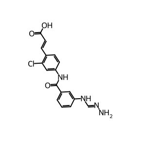 NN=CNc1cccc(C(=O)Nc2ccc(C=CC(=O)O)c(Cl)c2)c1